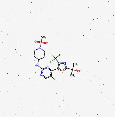 CC(C)(O)c1nc(C(F)(F)F)c(-c2nc(NC3CCN(S(C)(=O)=O)CC3)ncc2F)s1